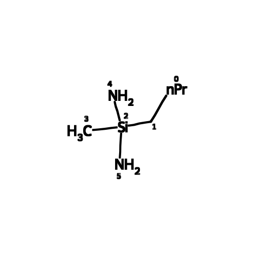 CCCC[Si](C)(N)N